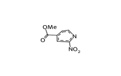 COC(=O)c1ccnc([N+](=O)[O-])c1